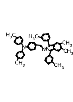 Cc1ccc(N(c2ccc(C)cc2)c2ccc(C=Nn3c(-c4cccc(C)c4)c4cc(C)c(C)cc4c3-c3cccc(C)c3)cc2)cc1